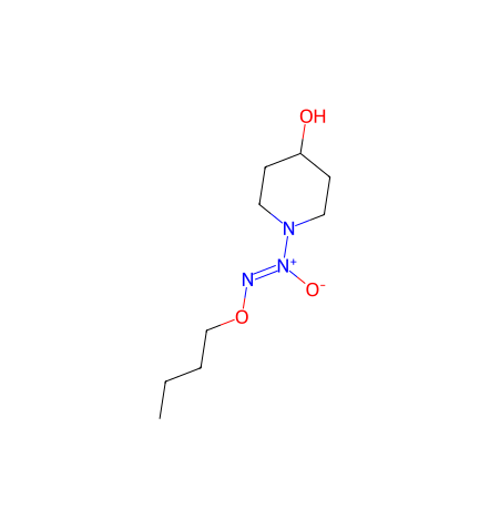 CCCCON=[N+]([O-])N1CCC(O)CC1